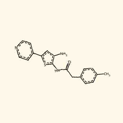 Cc1ccc(CC(=O)Nc2sc(-c3ccncc3)cc2N)cc1